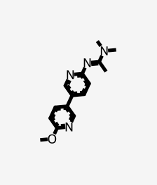 COc1ccc(-c2ccc(/N=C(\C)N(C)C)nc2)cn1